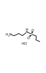 CCCS(=O)(=O)NCCCN.Cl